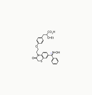 CCOC(Cc1ccc(OCCN2C(=O)CSc3cc(/C(=N/O)c4ccccc4)ccc32)cc1)C(=O)O